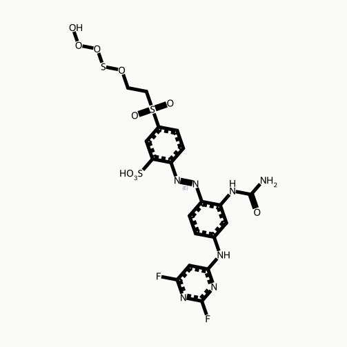 NC(=O)Nc1cc(Nc2cc(F)nc(F)n2)ccc1/N=N/c1ccc(S(=O)(=O)CCOSOOO)cc1S(=O)(=O)O